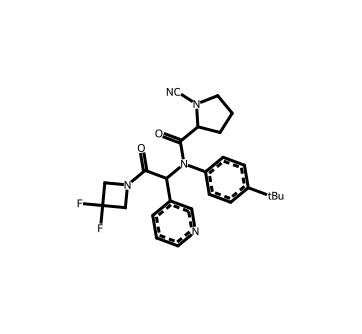 CC(C)(C)c1ccc(N(C(=O)C2CCCN2C#N)C(C(=O)N2CC(F)(F)C2)c2cccnc2)cc1